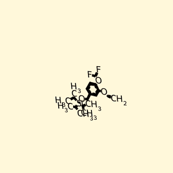 C=COc1cc(CO[Si](C(C)C)(C(C)C)C(C)C)ccc1OC(F)F